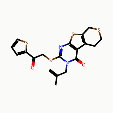 C=C(C)Cn1c(SCC(=O)c2cccs2)nc2sc3c(c2c1=O)CCSC3